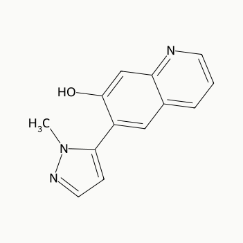 Cn1nccc1-c1cc2cccnc2cc1O